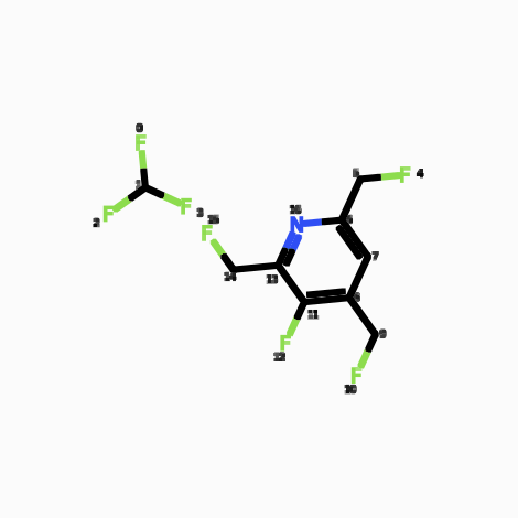 FC(F)F.FCc1cc(CF)c(F)c(CF)n1